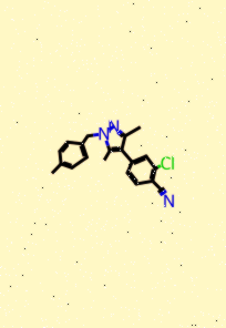 Cc1ccc(Cn2nc(C)c(-c3ccc(C#N)c(Cl)c3)c2C)cc1